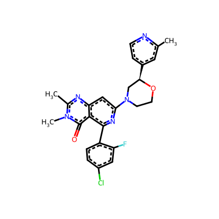 Cc1cc([C@@H]2CN(c3cc4nc(C)n(C)c(=O)c4c(-c4ccc(Cl)cc4F)n3)CCO2)ccn1